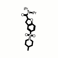 CC1CCN(S(=O)(=O)c2ccc3c(c2)CC(C(=O)N(C(C)C)C(C)C)O3)CC1